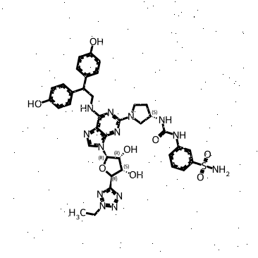 CCn1nnc([C@H]2O[C@@H](n3cnc4c(NCC(c5ccc(O)cc5)c5ccc(O)cc5)nc(N5CC[C@H](NC(=O)Nc6cccc(S(N)(=O)=O)c6)C5)nc43)[C@H](O)[C@@H]2O)n1